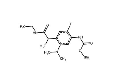 CC(C(=O)NCC(F)(F)F)c1cc(F)c(NC(=O)OC(C)(C)C)cc1N(C)C